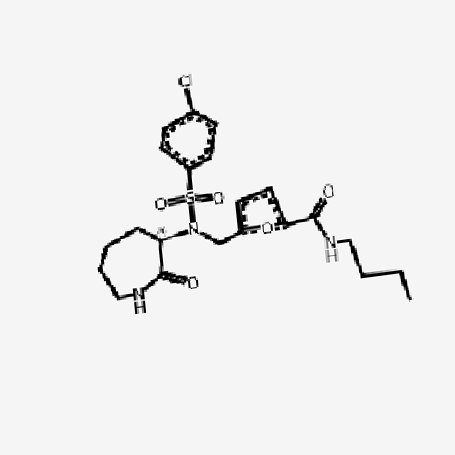 CCCCNC(=O)c1ccc(CN([C@@H]2CCCCNC2=O)S(=O)(=O)c2ccc(Cl)cc2)o1